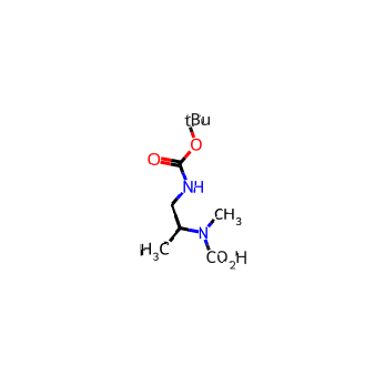 CC(CNC(=O)OC(C)(C)C)N(C)C(=O)O